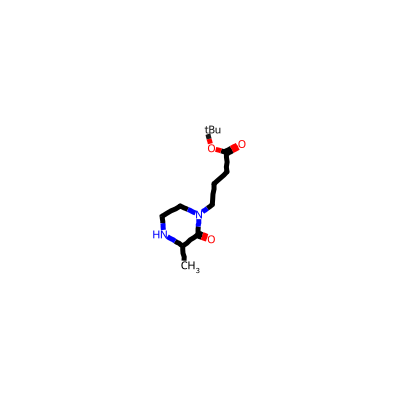 CC1NCCN(CCCC(=O)OC(C)(C)C)C1=O